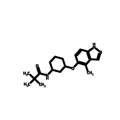 Cc1c(OC2CCCC(NC(=O)C(C)(C)C)C2)ccc2[nH]ncc12